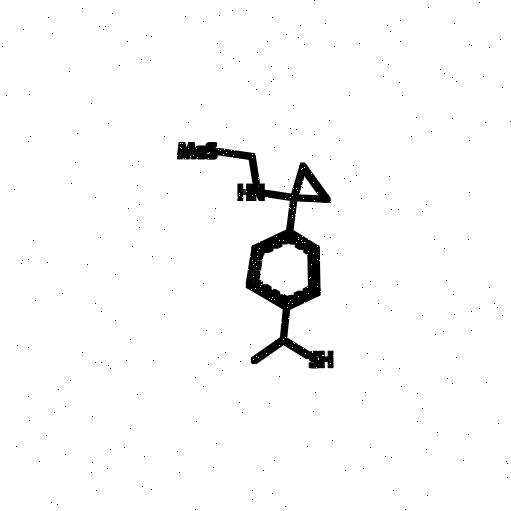 CSCNC1(c2ccc(C(C)S)cc2)CC1